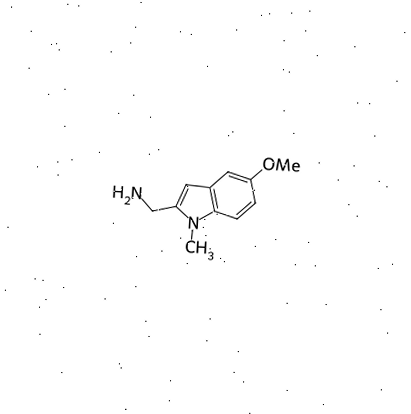 COc1ccc2c(c1)cc(CN)n2C